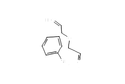 C=CCOCC=C.Nc1ccccc1